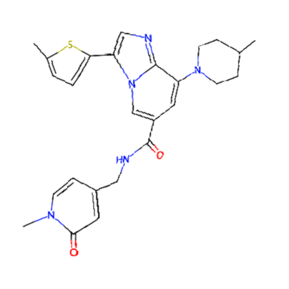 Cc1ccc(-c2cnc3c(N4CCC(C)CC4)cc(C(=O)NCc4ccn(C)c(=O)c4)cn23)s1